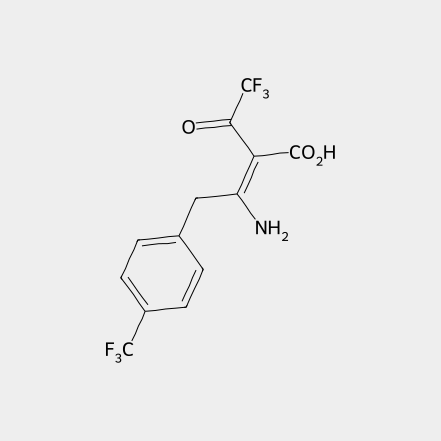 NC(Cc1ccc(C(F)(F)F)cc1)=C(C(=O)O)C(=O)C(F)(F)F